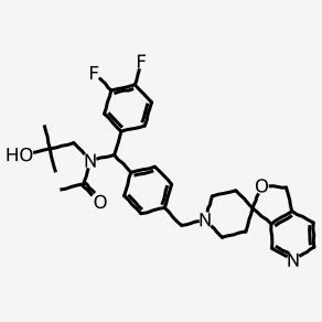 CC(=O)N(CC(C)(C)O)C(c1ccc(CN2CCC3(CC2)OCc2ccncc23)cc1)c1ccc(F)c(F)c1